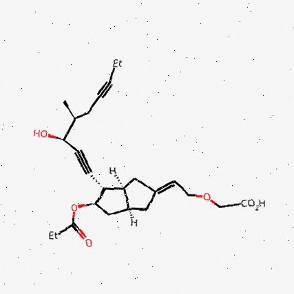 CCC#CC[C@H](C)[C@H](O)C#C[C@@H]1[C@H]2C/C(=C/COCC(=O)O)C[C@H]2C[C@H]1OC(=O)CC